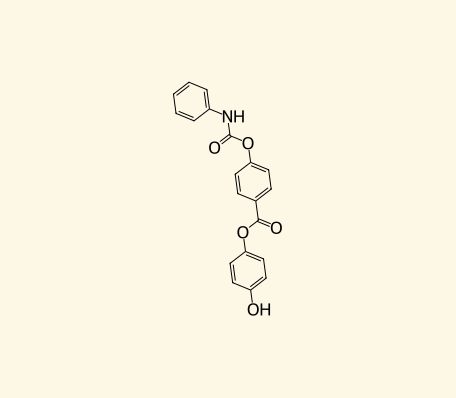 O=C(Nc1ccccc1)Oc1ccc(C(=O)Oc2ccc(O)cc2)cc1